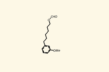 COc1cccc(CCCCCCOC=O)c1